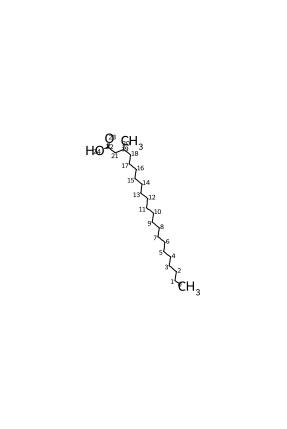 CCCCCCCCCCCCCCCCCCCC(C)CC(=O)O